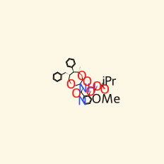 COc1ccnc(C(=O)N[C@H]2COC[C@H](Cc3ccccc3)[C@@H](c3ccccc3)[C@H](C)OC2=O)c1OCOC(=O)C(C)C